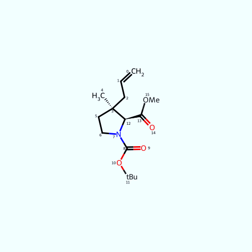 C=CC[C@]1(C)CCN(C(=O)OC(C)(C)C)[C@@H]1C(=O)OC